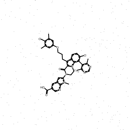 Cc1cc(OCCCc2c3n(c4c(-c5c(C)ncnc5C)c(Cl)ccc24)[C@H](C)CN(c2cc4cc(C(=O)O)cnc4n2C)C3=O)cc(C)c1Cl